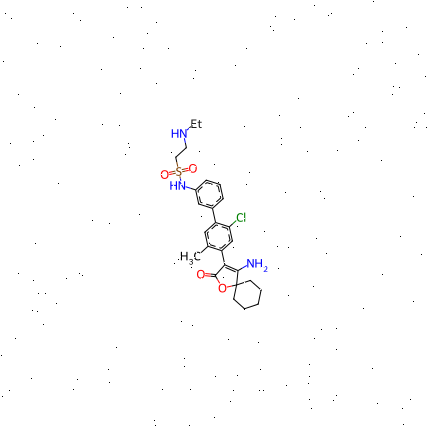 CCNCCS(=O)(=O)Nc1cccc(-c2cc(C)c(C3=C(N)C4(CCCCC4)OC3=O)cc2Cl)c1